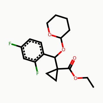 CCOC(=O)C1(C(OC2CCCCO2)c2ccc(F)cc2F)CC1